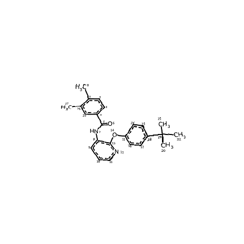 Cc1ccc(C(=O)Nc2cccnc2Oc2ccc(C(C)(C)C)cc2)cc1C